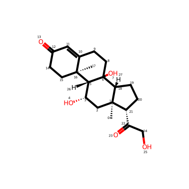 C[C@]12C[C@H](O)[C@H]3C(O)(CCC4=CC(=O)CC[C@@]43C)[C@@H]1CC[C@@H]2C(=O)CO